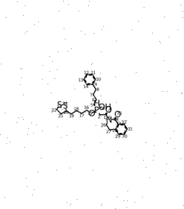 O=C(C[PH](O)(CCCCc1ccccc1)OCCCCC1CCSS1)N1CCc2ccccc2C1=O